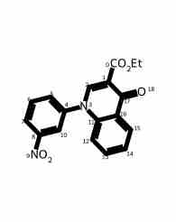 CCOC(=O)c1cn(-c2cccc([N+](=O)[O-])c2)c2ccccc2c1=O